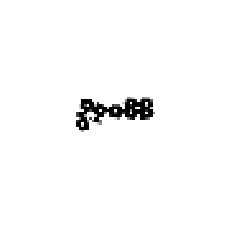 C=C1c2ccccc2/N=C(\C)c2cc(-c3ccc(-c4ccc5c6cccc7cccc(c8cccc4c85)c76)cc3)ccc2-c2ccccc21